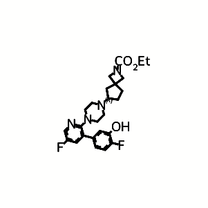 CCOC(=O)N1CC2(CC[C@@H](N3CCN(c4ncc(F)cc4-c4ccc(F)c(O)c4)CC3)C2)C1